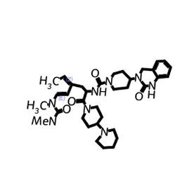 C/C=C(\C=C\N(C)C(=O)NC)CC(NC(=O)N1CCC(N2Cc3ccccc3NC2=O)CC1)C(=O)N1CCC(N2CCCCC2)CC1